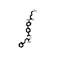 CCCCC(=O)Nc1ccc(-c2ccc(C(=O)C[C@@H](CCc3ccccc3)C(=O)O)cc2)cc1